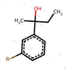 CCC(C)(O)c1cccc(Br)c1